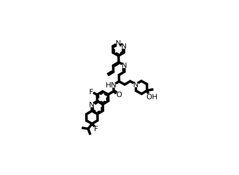 C=C/C=C(\N=C/CC(CCN1CCC(C)(O)CC1)NC(=O)c1cc(F)c2nc3c(cc2c1)CC(F)(C(C)C)CC3)c1ccnnc1